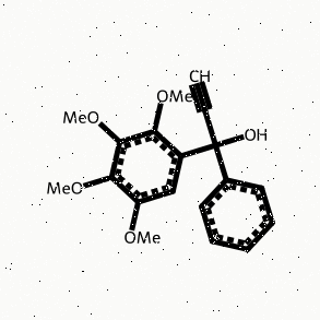 C#CC(O)(c1ccccc1)c1cc(OC)c(OC)c(OC)c1OC